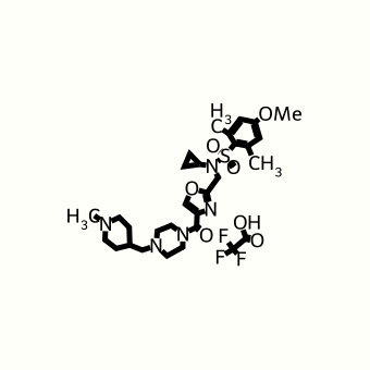 COc1cc(C)c(S(=O)(=O)N(Cc2nc(C(=O)N3CCN(CC4CCN(C)CC4)CC3)co2)C2CC2)c(C)c1.O=C(O)C(F)(F)F